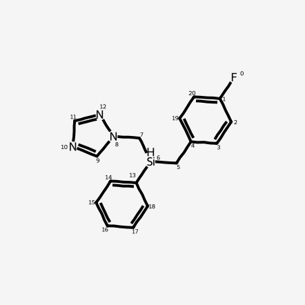 Fc1ccc(C[SiH](Cn2cncn2)c2ccccc2)cc1